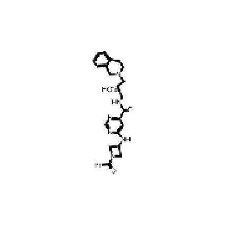 CC(C)C(=O)N1CC(Nc2cc(C(=O)NC[C@H](O)CN3CCc4ccccc4C3)ncn2)C1